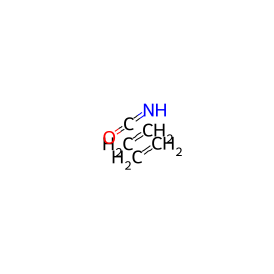 C=C.C=C.N=C=O